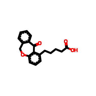 O=C(O)CCCCc1cccc2c1C(=O)c1ccccc1CO2